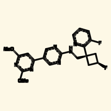 COc1cc(-c2cnc(NC[C@]3(c4ncccc4F)C[C@H](F)C3)nc2)nc(OC)n1